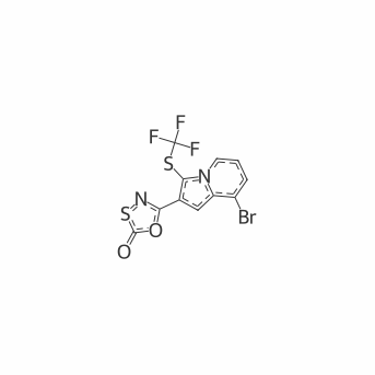 O=c1oc(-c2cc3c(Br)cccn3c2SC(F)(F)F)ns1